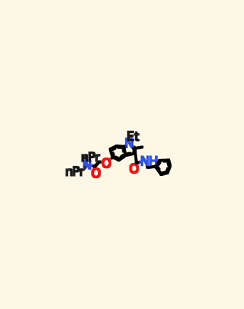 CCCN(CCC)C(=O)COc1ccc2c(c1)c(C(=O)NCc1ccccc1)c(C)n2CC